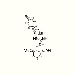 COc1cccc(OC)c1CNC(=N)Nc1nc(-c2ccc(F)cc2)c[nH]1